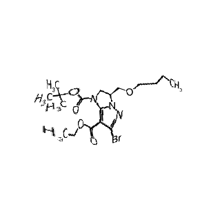 CCCCOC[C@@H]1CN(C(=O)OC(C)(C)C)c2c(C(=O)OCC)c(Br)nn21